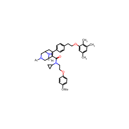 COc1ccc(OCCN(C(=O)C2=C(c3ccc(CCOc4cc(C)cc(C)c4C)cc3)CC3CN(C(C)=O)C[C@H]2N3)C2CC2)cc1